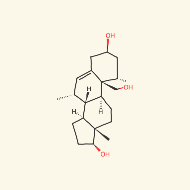 C[C@@H]1C=C2C[C@@H](O)C[C@H](C)[C@]2(CO)[C@H]2CC[C@]3(C)[C@@H](O)CC[C@H]3[C@H]12